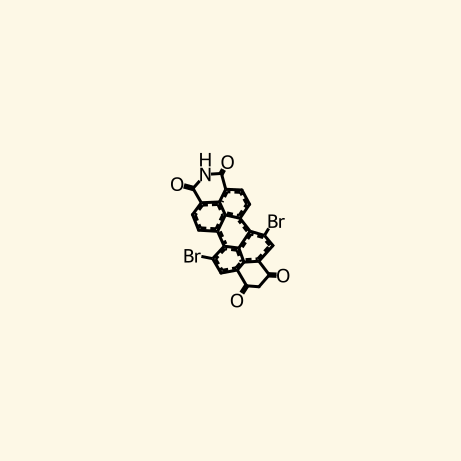 O=C1NC(=O)c2ccc3c4c(Br)cc5c6c(cc(Br)c(c7ccc1c2c73)c64)C(=O)CC5=O